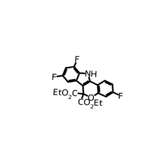 CCOC(=O)C1(C(=O)OCC)Oc2cc(F)ccc2-c2[nH]c3c(F)cc(F)cc3c21